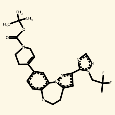 CC(C)(C)OC(=O)N1CC=C(c2ccc3c(c2)-n2nc(-c4ncnn4CC(F)(F)F)cc2CCO3)CC1